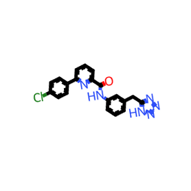 O=C(Nc1cccc(Cc2nnn[nH]2)c1)c1cccc(-c2ccc(Cl)cc2)n1